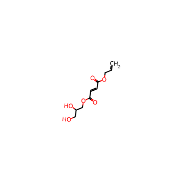 C=CCOC(=O)C=CC(=O)OCC(O)CO